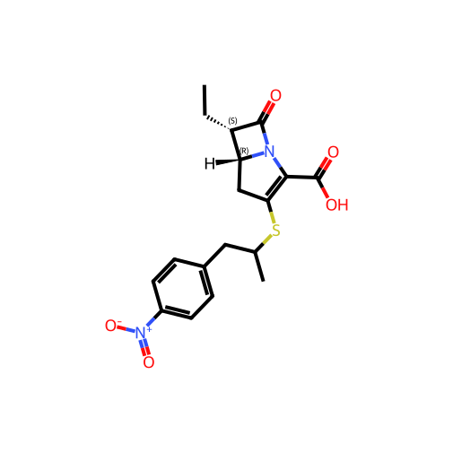 CC[C@@H]1C(=O)N2C(C(=O)O)=C(SC(C)Cc3ccc([N+](=O)[O-])cc3)C[C@H]12